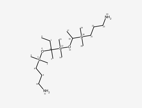 CCC(C)(O[Si](C)(C)CCCN)[Si](C)(C)OC(C)[Si](C)(C)CCCN